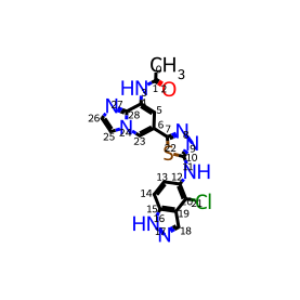 CC(=O)Nc1cc(-c2nnc(Nc3ccc4[nH]ncc4c3Cl)s2)cn2ccnc12